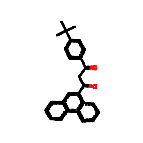 CC(C)(C)c1ccc(C(=O)CC(=O)c2cc3ccccc3c3ccccc23)cc1